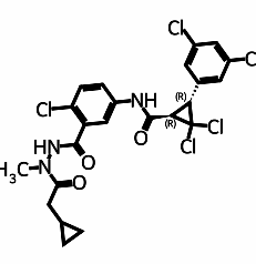 CN(NC(=O)c1cc(NC(=O)[C@H]2[C@H](c3cc(Cl)cc(Cl)c3)C2(Cl)Cl)ccc1Cl)C(=O)CC1CC1